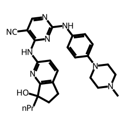 CCCC1(O)CCc2ccc(Nc3nc(Nc4ccc(N5CCN(C)CC5)cc4)ncc3C#N)nc21